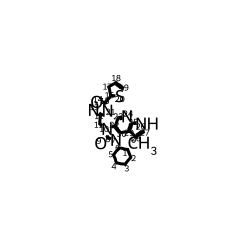 C[C@@H]1CCCC[C@@H]1n1c(=O)n(Cc2noc(C3CC=CS3)n2)c2cnc3[nH]ccc3c21